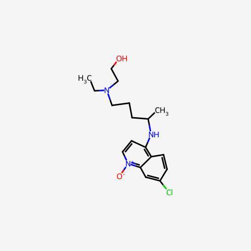 CCN(CCO)CCCC(C)Nc1cc[n+]([O-])c2cc(Cl)ccc12